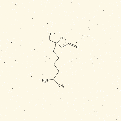 CC(N)CCC[CH2][Sn]([CH3])([CH2]S)[CH2]C=O